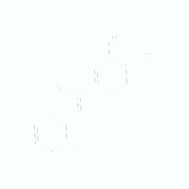 COc1ccc(C(C#N)=Cc2ccccc2O)cc1OC